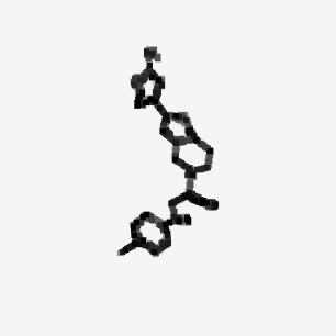 Cc1ccc(NCC(=O)N2CCc3sc(-c4noc(C(F)(F)F)n4)cc3C2)cc1